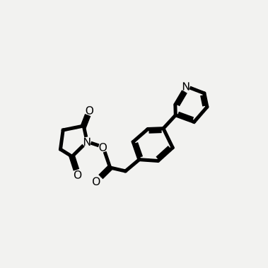 O=C(Cc1ccc(-c2cccnc2)cc1)ON1C(=O)CCC1=O